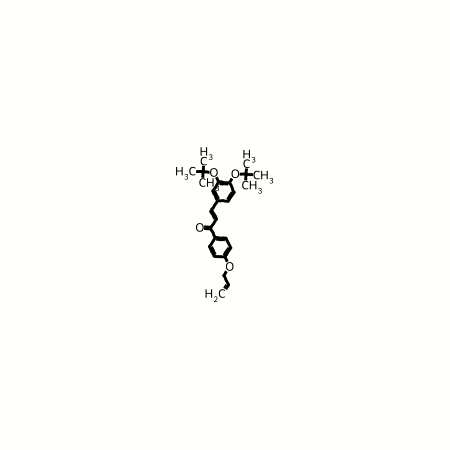 C=CCOc1ccc(C(=O)/C=C/c2ccc(OC(C)(C)C)c(OC(C)(C)C)c2)cc1